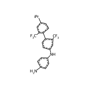 CC(C)c1ccc(-c2ccc(Nc3ccc(N)cc3)cc2C(F)(F)F)c(C(F)(F)F)c1